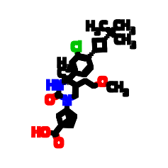 COCCC1=CN(C23CCC(C(=O)O)(C2)C3)C(=O)N[C@@]1(C)c1ccc([C@H]2C[C@@H](C(C)(C)C)C2)c(Cl)c1